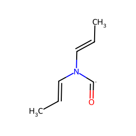 CC=CN([C]=O)C=CC